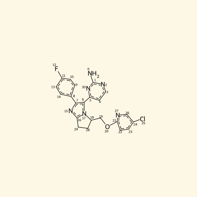 Nc1nccc(-c2c(-c3ccc(F)cc3)nc3n2C(COc2ccc(Cl)cn2)CC3)n1